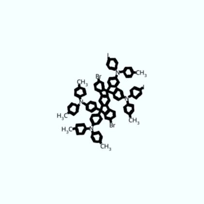 Cc1ccc(N(c2ccc(C)cc2)c2ccc(C3(c4ccc(N(c5ccc(C)cc5)c5ccc(C)cc5)cc4)c4cc(Br)ccc4-c4cc5c(cc43)-c3ccc(Br)cc3C5(c3ccc(N(c4ccc(C)cc4)c4ccc(I)cc4)cc3)c3ccc(N(c4ccc(C)cc4)c4ccc(I)cc4)cc3)cc2)cc1